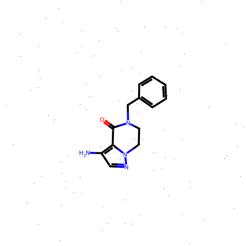 Nc1cnn2c1C(=O)N(Cc1ccccc1)CC2